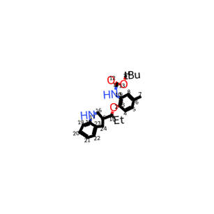 CCC(Oc1ccc(C)cc1NC(=O)OC(C)(C)C)C1CNc2ccccc2C1